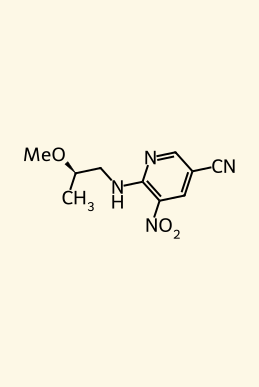 CO[C@H](C)CNc1ncc(C#N)cc1[N+](=O)[O-]